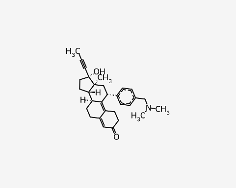 CC#C[C@]1(O)CC[C@H]2[C@@H]3CCC4=CC(=O)CCC4=C3[C@@H](c3ccc(CN(C)C)cc3)C[C@@]21C